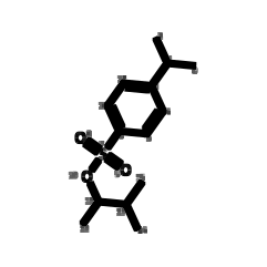 CC(C)c1ccc(S(=O)(=O)OC(C)C(C)C)cc1